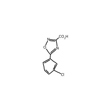 O=C(O)c1noc(-c2cccc(Cl)c2)n1